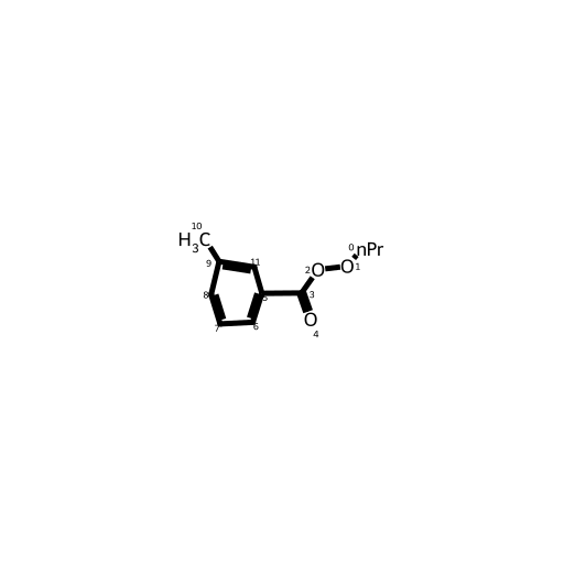 [CH2]CCOOC(=O)c1cccc(C)c1